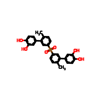 Cc1ccc(S(=O)(=O)c2ccc(C)c(-c3ccc(O)c(O)c3)c2)cc1-c1ccc(O)c(O)c1